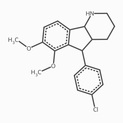 COc1ccc2c(c1OC)C(c1ccc(Cl)cc1)C1CCCNC21